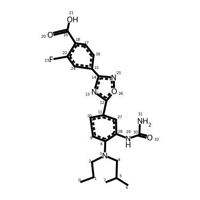 CCCN(CC(C)C)c1ccc(-c2nc(-c3ccc(C(=O)O)c(F)c3)no2)cc1NC(N)=O